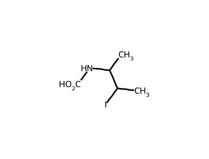 CC(I)C(C)NC(=O)O